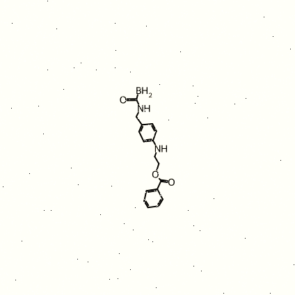 BC(=O)NCc1ccc(NCCOC(=O)c2ccccc2)cc1